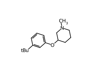 CN1CCCC(Oc2cccc(C(C)(C)C)c2)C1